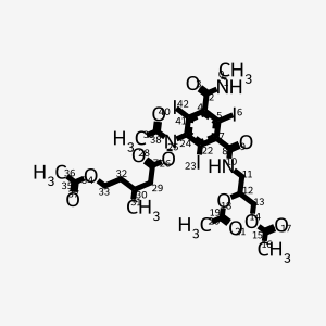 CNC(=O)c1c(I)c(C(=O)NCC(COC(C)=O)OC(C)=O)c(I)c(N(OC(=O)CC(C)CCOC(C)=O)C(C)=O)c1I